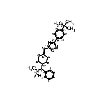 CN(C)C(c1ccccc1)C1CCC(=Cc2nc(-c3ccc(C(C)(C)C)cc3)no2)CC1